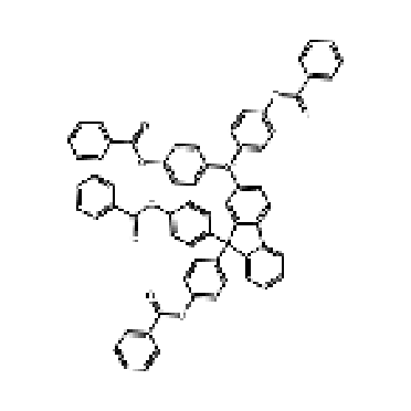 O=C(Oc1ccc([S+](c2ccc(OC(=O)c3ccccc3)cc2)c2ccc3c(c2)C(c2ccc(OC(=O)c4ccccc4)cc2)(c2ccc(OC(=O)c4ccccc4)cc2)c2ccccc2-3)cc1)c1ccccc1